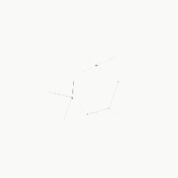 CC1CC(C)(C)[S+]([O-])C(C)(C)C1